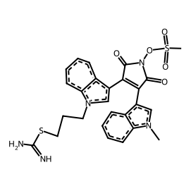 Cn1cc(C2=C(c3cn(CCCSC(=N)N)c4ccccc34)C(=O)N(OS(C)(=O)=O)C2=O)c2ccccc21